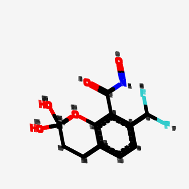 O=NC(=O)c1c(C(F)F)ccc2c1O[B-](O)(O)CC2